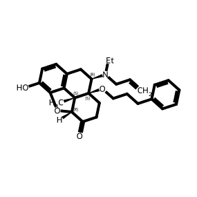 C=CCN(CC)[C@@H]1Cc2ccc(O)c3c2[C@@]2(C)[C@@H](O3)C(=O)CC[C@@]12OCCCc1ccccc1